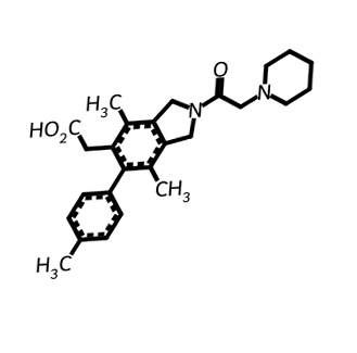 Cc1ccc(-c2c(C)c3c(c(C)c2CC(=O)O)CN(C(=O)CN2CCCCC2)C3)cc1